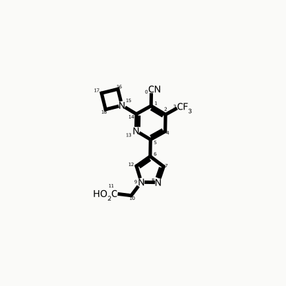 N#Cc1c(C(F)(F)F)cc(-c2cnn(CC(=O)O)c2)nc1N1CCC1